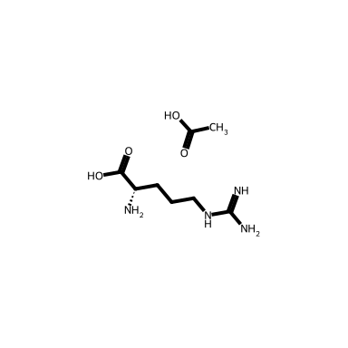 CC(=O)O.N=C(N)NCCC[C@H](N)C(=O)O